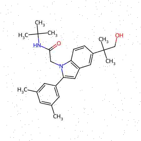 Cc1cc(C)cc(-c2cc3cc(C(C)(C)CO)ccc3n2CC(=O)NC(C)(C)C)c1